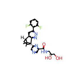 CC1(C)[C@H]2CC[C@]1(c1cncc(C(=O)NC[C@@H](O)CO)n1)c1nnc(-c3c(F)cccc3F)cc12